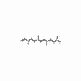 C=CNCCNCCNCCN(C)C